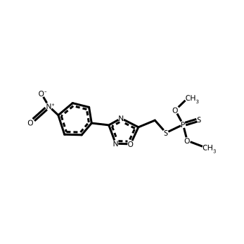 COP(=S)(OC)SCc1nc(-c2ccc([N+](=O)[O-])cc2)no1